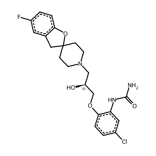 NC(=O)Nc1cc(Cl)ccc1OC[C@@H](O)CN1CCC2(CC1)Cc1cc(F)ccc1O2